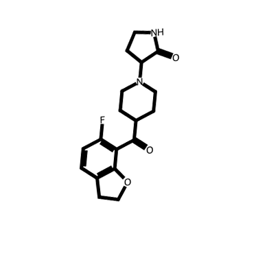 O=C(c1c(F)ccc2c1OCC2)C1CCN(C2CCNC2=O)CC1